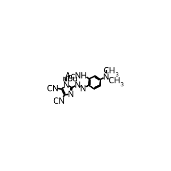 [C-]#[N+]c1nc(N=Nc2ccc(N(C)C)cc2NC(C)=O)n(CCCC)c1[N+]#[C-]